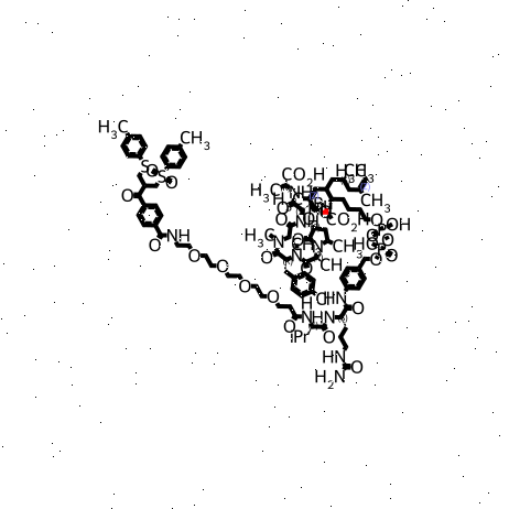 C/C=C(/C)C[C@@H](C)CC(/C=C(/C)C(=O)O[C@H]1CC(C)N([C@H](C)C(=O)N(C)[C@H](Cc2ccc(Cl)cc2)C(=O)N(C)CC(=O)N[C@H](C(=O)N[C@H](C)C(=O)O)C(C)CC)C1=O)C(CCCCOP(=O)(O)OP(=O)(O)OCc1ccc(NC(=O)[C@H](CCCNC(N)=O)NC(=O)[C@@H](NC(=O)CCOCCOCCOCCOCCNC(=O)c2ccc(C(=O)C(CSc3ccc(C)cc3)CS(=O)(=O)c3ccc(C)cc3)cc2)C(C)C)cc1)NC(=O)O